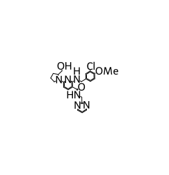 COc1ccc(CNc2nc(N3CCCC3CO)ccc2C(=O)NCc2ncccn2)cc1Cl